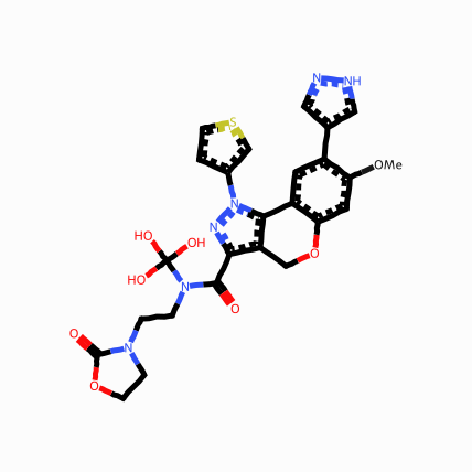 COc1cc2c(cc1-c1cn[nH]c1)-c1c(c(C(=O)N(CCN3CCOC3=O)C(O)(O)O)nn1-c1ccsc1)CO2